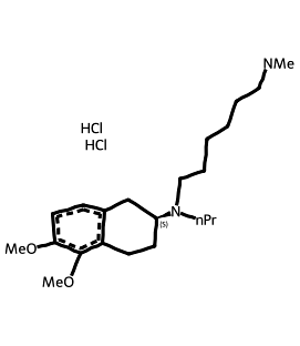 CCCN(CCCCCCNC)[C@H]1CCc2c(ccc(OC)c2OC)C1.Cl.Cl